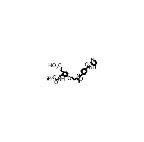 Cc1oc(-c2ccc(C(=O)Nc3cccnc3)cc2)nc1CCOc1ccc(CCC(=O)O)c(CNC(=O)OC(C)C)c1